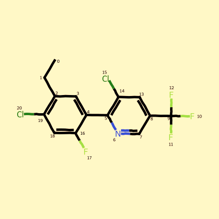 CCc1cc(-c2ncc(C(F)(F)F)cc2Cl)c(F)cc1Cl